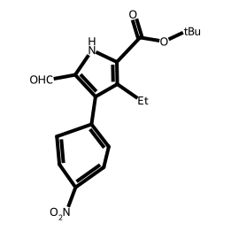 CCc1c(C(=O)OC(C)(C)C)[nH]c(C=O)c1-c1ccc([N+](=O)[O-])cc1